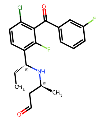 CC[C@@H](N[C@@H](C)CC=O)c1ccc(Cl)c(C(=O)c2cccc(F)c2)c1F